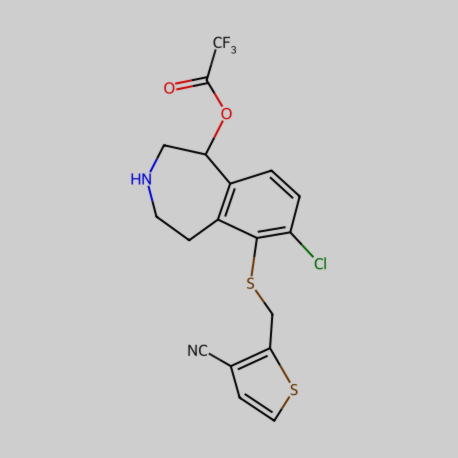 N#Cc1ccsc1CSc1c(Cl)ccc2c1CCNCC2OC(=O)C(F)(F)F